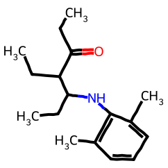 CCC(=O)C(CC)C(CC)Nc1c(C)cccc1C